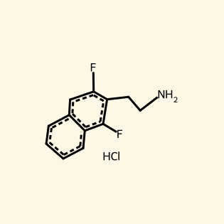 Cl.NCCc1c(F)cc2ccccc2c1F